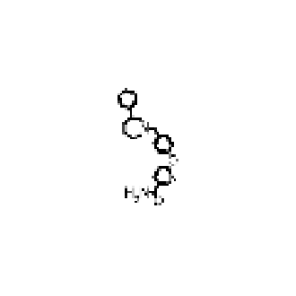 NC(=O)c1ccc(Oc2ccc(CN3CCCCC(c4ccccc4)C3)cc2)nc1